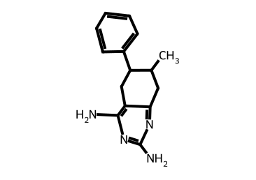 CC1Cc2nc(N)nc(N)c2CC1c1ccccc1